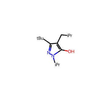 CC(C)Cc1c(C(C)(C)C)nn(C(C)C)c1O